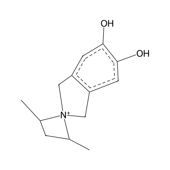 CC1CC(C)[N+]12Cc1cc(O)c(O)cc1C2